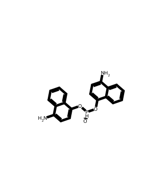 Nc1ccc(O[PH](=O)Oc2ccc(N)c3ccccc23)c2ccccc12